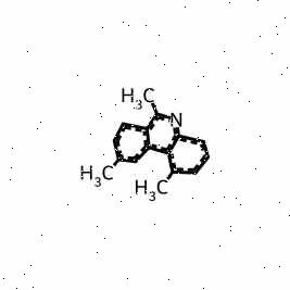 Cc1ccc2c(C)nc3cccc(C)c3c2c1